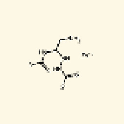 NCC(NNC(=S)[S-])NC(=S)[S-].[Zn+2]